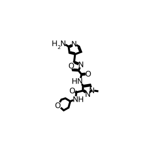 Cn1cc(NC(=O)c2coc(-c3ccnc(N)c3)n2)c(C(=O)NC2CCOCC2)n1